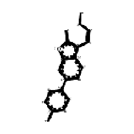 CC/C=C\c1c(C)oc2cc(-c3ccc(C)cc3)ccc12